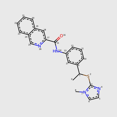 CC(Sc1nccn1C)c1cccc(NC(=O)c2cc3ccccc3cn2)c1